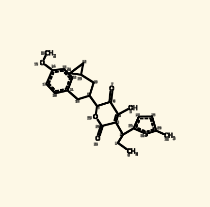 CCC(C1=C(O)C(=O)C(C(Cc2ccc(OC)cc2)CC2CC2)OC1=O)c1ccc(C)s1